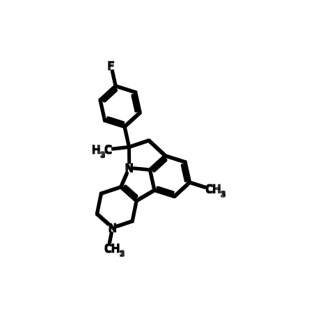 Cc1cc2c3c(c1)c1c(n3C(C)(c3ccc(F)cc3)C2)CCN(C)C1